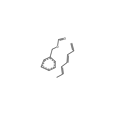 C=CC=CC=CC.O=COCc1ccccc1